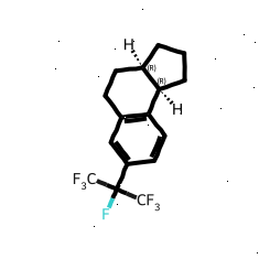 FC(F)(F)C(F)(c1ccc2c(c1)CC[C@H]1CCC[C@@H]21)C(F)(F)F